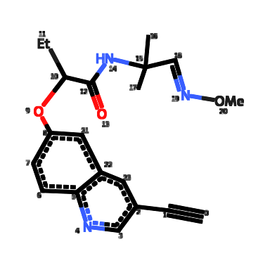 C#Cc1cnc2ccc(OC(CC)C(=O)NC(C)(C)C=NOC)cc2c1